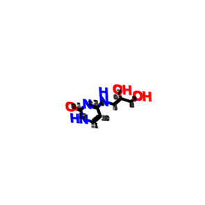 O=c1nc(NCC(O)CO)cc[nH]1